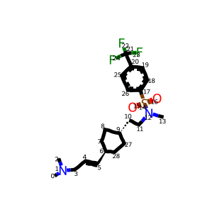 CN(C)CC=C[C@H]1CC[C@H](CCN(C)S(=O)(=O)c2ccc(C(F)(F)F)cc2)CC1